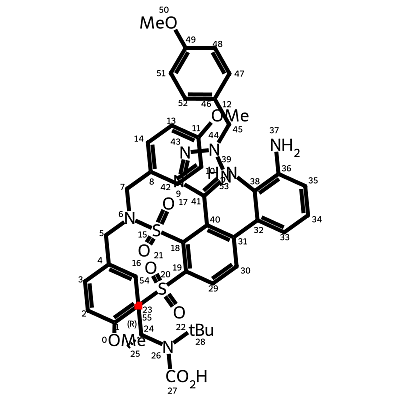 COc1ccc(CN(Cc2ccc(OC)cc2)S(=O)(=O)c2c(S(=O)(=O)C[C@@H](C)N(C(=O)O)C(C)(C)C)ccc(-c3cccc(N)c3N)c2-c2nnn(Cc3ccc(OC)cc3)n2)cc1